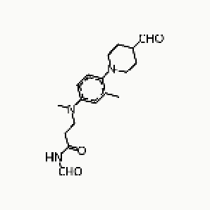 Cc1cc(N(C)CCC(=O)NC=O)ccc1N1CCC(C=O)CC1